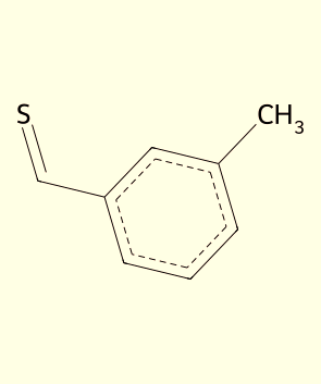 Cc1cccc(C=S)c1